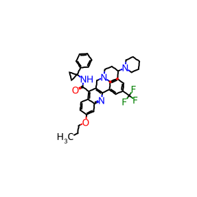 CCCOc1ccc2c(C(=O)NC3(c4ccccc4)CC3)c(CN3CCC(N4CCCCC4)CC3)c(-c3cccc(C(F)(F)F)c3)nc2c1